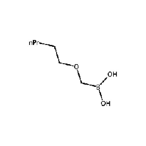 CCCCCOCB(O)O